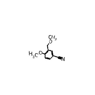 COCc1cc(C#N)ccc1OC